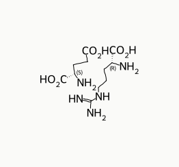 N=C(N)NCCC[C@@H](N)C(=O)O.N[C@@H](CCC(=O)O)C(=O)O